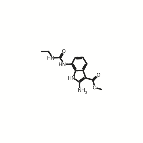 CCNC(=O)Nc1cccc2c(C(=O)OC)c(N)[nH]c12